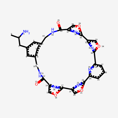 CC(N)Cc1cc2cc(c1)CNC(=O)c1coc(n1)-c1coc(n1)-c1cccc(n1)-c1nc(co1)-c1nc(co1)C(=O)NC2